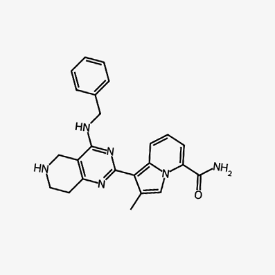 Cc1cn2c(C(N)=O)cccc2c1-c1nc2c(c(NCc3ccccc3)n1)CNCC2